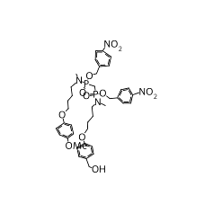 COc1ccc(OCCCCN(C)P(=O)(CP(=O)(OCc2ccc([N+](=O)[O-])cc2)N(C)CCCCOc2ccc(CO)cc2)OCc2ccc([N+](=O)[O-])cc2)cc1